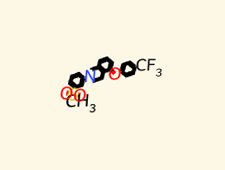 CS(=O)(=O)c1cccc(N2CCc3c(cccc3Oc3ccc(C(F)(F)F)cc3)C2)c1